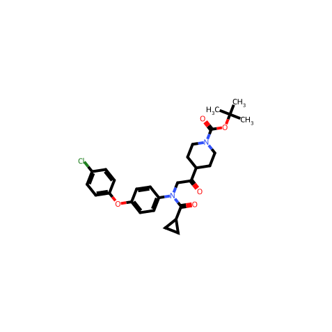 CC(C)(C)OC(=O)N1CCC(C(=O)CN(C(=O)C2CC2)c2ccc(Oc3ccc(Cl)cc3)cc2)CC1